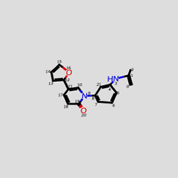 C=C(C)Nc1cccc(-n2cc(-c3ccco3)ccc2=O)c1